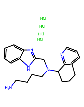 Cl.Cl.Cl.Cl.NCCCCN(Cc1nc2ccccc2[nH]1)C1CCCc2cccnc21